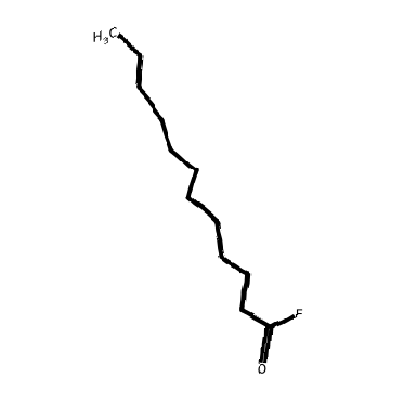 CCCCCCCCCCCC(=O)F